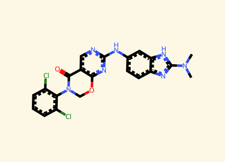 CN(C)c1nc2ccc(Nc3ncc4c(n3)OCN(c3c(Cl)cccc3Cl)C4=O)cc2[nH]1